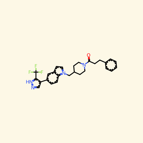 O=C(CCc1ccccc1)N1CCC(Cn2ccc3cc(-c4cn[nH]c4C(F)(F)F)ccc32)CC1